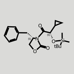 CC(C)(C)[Si](C)(C)O[C@H](C(=O)N1C(=O)OC[C@@H]1Cc1ccccc1)C1CC1